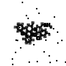 Cc1ccc(C(=O)N(CCCN)C(c2nc3ccccn3c(=O)c2Cc2ccccc2)C(C)C)c(Cl)c1